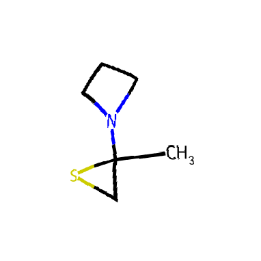 CC1(N2CCC2)CS1